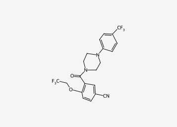 N#Cc1ccc(OCC(F)(F)F)c(C(=O)N2CCN(c3ccc(C(F)(F)F)cc3)CC2)c1